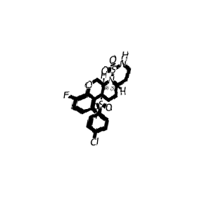 O=S1(=O)NCC[C@@H]2CC[C@@]3(S(=O)(=O)c4ccc(Cl)cc4)c4c(F)ccc(F)c4OC[C@H]3N21